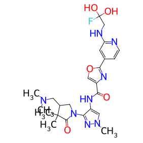 CN(C)CC1CN(c2nn(C)cc2NC(=O)c2coc(-c3ccnc(NCC(O)(O)F)c3)n2)C(=O)C1(C)C